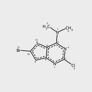 CN(C)c1nc(Cl)nc2cc(Br)sc12